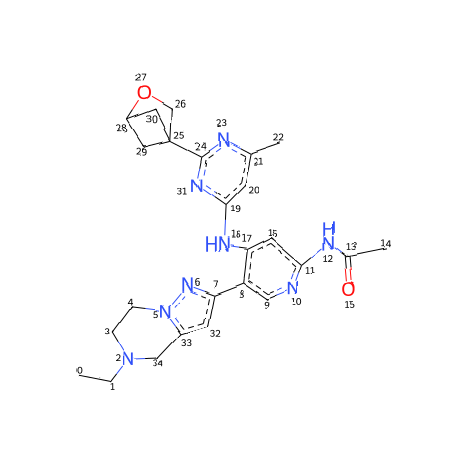 CCN1CCn2nc(-c3cnc(NC(C)=O)cc3Nc3cc(C)nc(C45COC(C4)C5)n3)cc2C1